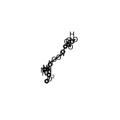 Nc1ncnc2c1c(-c1ccc(Oc3ccccc3)cc1)nn2C1CCN(CCOCCOCCN2CCC(c3ccc4c(c3)C(=O)N(C3CCC(=O)NC3=O)C4=O)CC2)CC1